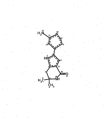 CC1(C)Cc2[nH]c(-c3ccnc(N)n3)cc2C(=O)N1